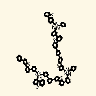 c1ccc(-c2ccc3sc4c(-c5cccc(-c6nc(-c7cccc(-c8cccc(-c9ccc%10sc%11c(-c%12cccc(-c%13nc(-c%14ccccc%14)nc(-c%14ccc%15sc%16cc(-c%17ccc(-c%18ccc%19sc%20c(-c%21cccc(-c%22nc(-c%23ccccc%23)nc(-c%23ccc%24c(c%23)sc%23ccccc%23%24)n%22)c%21)cccc%20c%19c%18)cc%17)ccc%16c%15c%14)n%13)c%12)cccc%11c%10c9)c8)c7)nc(-c7cccc8sc9ccccc9c78)n6)c5)cccc4c3c2)cc1